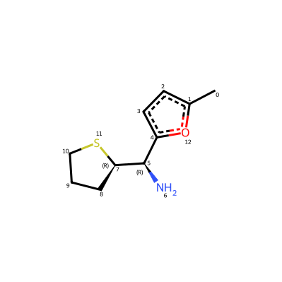 Cc1ccc([C@@H](N)[C@H]2CCCS2)o1